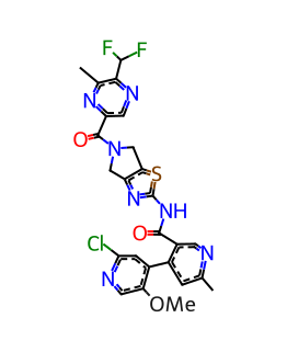 COc1cnc(Cl)cc1-c1cc(C)ncc1C(=O)Nc1nc2c(s1)CN(C(=O)c1cnc(C(F)F)c(C)n1)C2